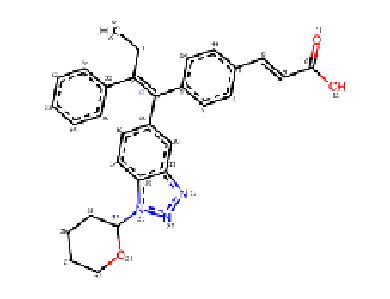 CC/C(=C(\c1ccc(C=CC(=O)O)cc1)c1ccc2c(c1)nnn2C1CCCCO1)c1ccccc1